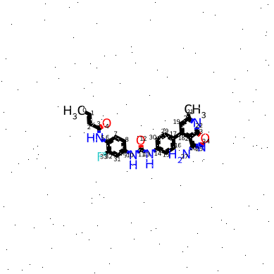 C/C=C/C(=O)Nc1ccc(NC(=O)Nc2ccc(-c3cc(C)nc4onc(N)c34)cc2)cc1F